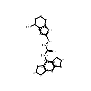 O=C(NSc1cc2c(o1)CCCC2O)Nc1c2c(cc3c1CCC3)CCC2